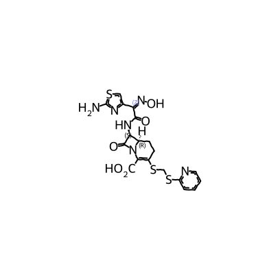 Nc1nc(/C(=N/O)C(=O)N[C@@H]2C(=O)N3C(C(=O)O)=C(SCSc4ccccn4)CC[C@H]23)cs1